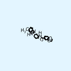 Cc1ccc2nc([C@H]3CCC[C@@H](NC(=O)c4ccc5c(c4)OCCO5)C3)[nH]c2c1